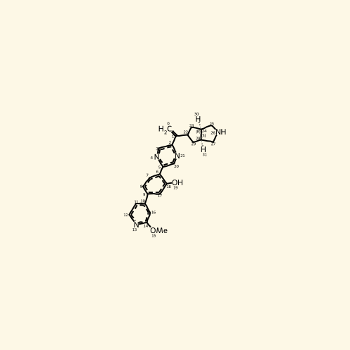 C=C(c1cnc(-c2ccc(-c3ccnc(OC)c3)cc2O)cn1)C1C[C@H]2CNC[C@H]2C1